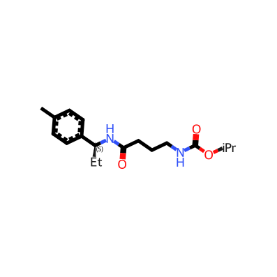 CC[C@H](NC(=O)CCCNC(=O)OC(C)C)c1ccc(C)cc1